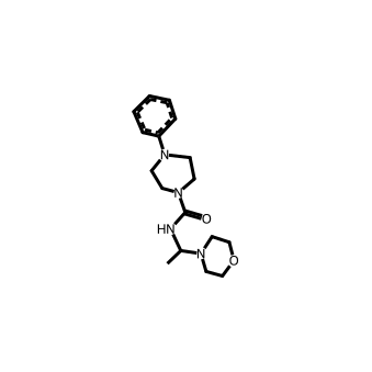 CC(NC(=O)N1CCN(c2ccccc2)CC1)N1CCOCC1